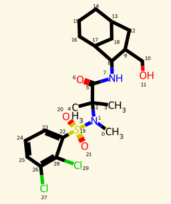 CN(C(C)(C)C(=O)NC1C(CO)CC2CCCC1C2)S(=O)(=O)c1cccc(Cl)c1Cl